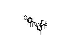 COc1ccc(CNc2cc(I)cc(C(F)(F)F)n2)cc1